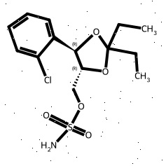 CCC1(CC)O[C@H](c2ccccc2Cl)[C@@H](COS(N)(=O)=O)O1